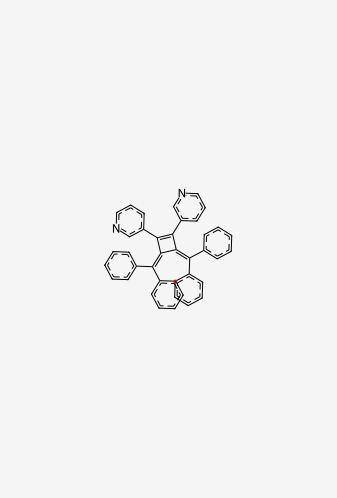 c1ccc(C(=C2C(=C(c3ccccc3)c3ccccc3)C(c3cccnc3)=C2c2cccnc2)c2ccccc2)cc1